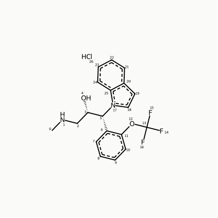 CNC[C@H](O)[C@@H](c1ccccc1OC(F)(F)F)n1ccc2ccccc21.Cl